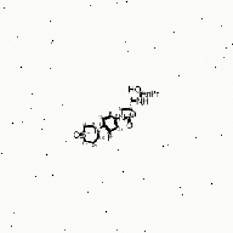 CCCC(O)NC[C@H]1CN(c2ccc(N3CCC[S+]([O-])CC3)c(F)c2)C(=O)O1